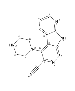 N#Cc1ncc2[nH]c3ncccc3c2c1N1CCNCC1